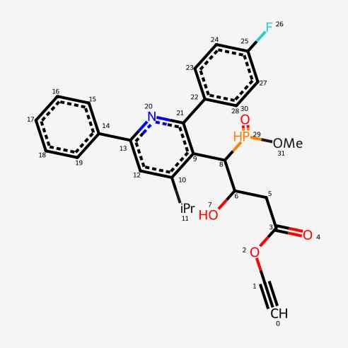 C#COC(=O)CC(O)C(c1c(C(C)C)cc(-c2ccccc2)nc1-c1ccc(F)cc1)[PH](=O)OC